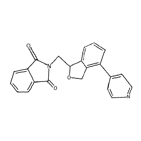 O=C1c2ccccc2C(=O)N1CC1OCc2c(-c3ccncc3)cccc21